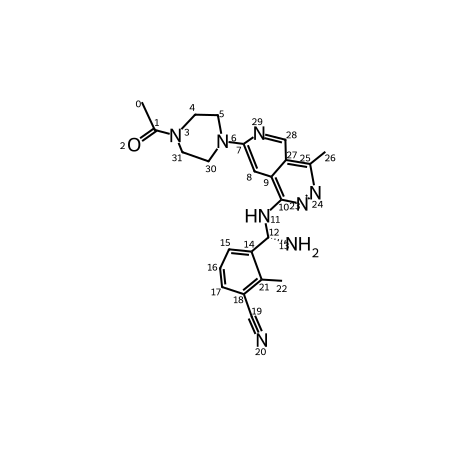 CC(=O)N1CCN(c2cc3c(N[C@H](N)c4cccc(C#N)c4C)nnc(C)c3cn2)CC1